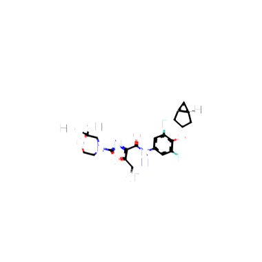 CC1(C)CN(c2nc(C(=O)Nc3cc(F)c(O[C@@H]4CC5C[C@@H]5C4)c(F)c3)c(CC(F)(F)F)o2)CCO1